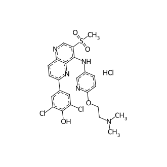 CN(C)CCOc1ccc(Nc2c(S(C)(=O)=O)cnc3ccc(-c4cc(Cl)c(O)c(Cl)c4)nc23)cn1.Cl